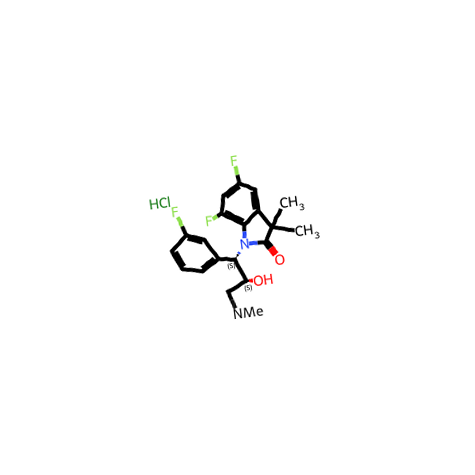 CNC[C@H](O)[C@H](c1cccc(F)c1)N1C(=O)C(C)(C)c2cc(F)cc(F)c21.Cl